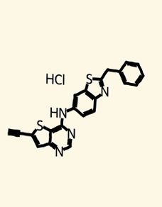 C#Cc1cc2ncnc(Nc3ccc4nc(Cc5ccccc5)sc4c3)c2s1.Cl